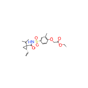 C=C[C@@H]1C[C@@]1(C(=O)NS(=O)(=O)c1ccc(OCC(=O)OCC)c(C)c1)C(C)C